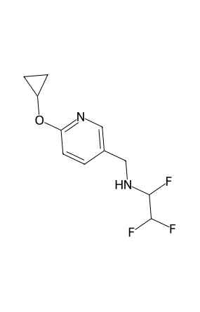 FC(F)C(F)NCc1ccc(OC2CC2)nc1